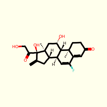 C=C1C[C@H]2[C@@H]3C=C(F)C4=CC(=O)CC[C@]4(C)[C@H]3[C@@H](O)C[C@]2(C)[C@@]1(O)C(=O)CO